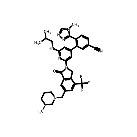 CC(C)CNc1cc(-c2cc(C#N)ccc2-c2nncn2C)cc(N2Cc3c(cc(CN4CCC[C@H](C)C4)cc3C(F)(F)F)C2=O)n1